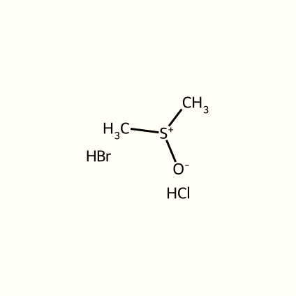 Br.C[S+](C)[O-].Cl